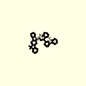 CC1(C)c2ccccc2-c2cc3c(cc21)c1ccccc1n3-c1cc(-c2cccc3c2sc2ccccc23)c2ccccc2n1